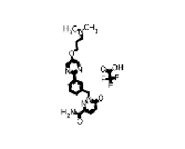 CN(C)CCCOc1cnc(-c2cccc(Cn3nc(C(N)=O)ccc3=O)c2)nc1.O=C(O)C(F)(F)F